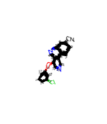 N#Cc1ccc2c(c1)ncc1c(Oc3cccc(Cl)c3)cncc12